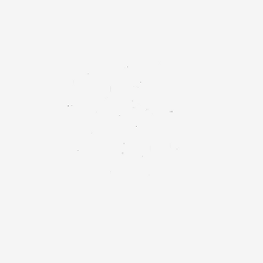 CCCCCc1cccc2c1C(C(F)(F)C(F)(F)F)(C(F)(F)C(F)(F)F)c1ccccc1-2